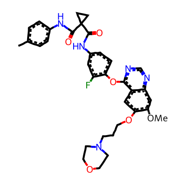 COc1cc2ncnc(Oc3ccc(NC(=O)C4(C(=O)Nc5ccc(C)cc5)CC4)cc3F)c2cc1OCCCN1CCOCC1